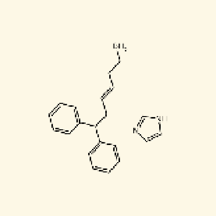 BCCC=CCC(c1ccccc1)c1ccccc1.c1c[nH]cn1